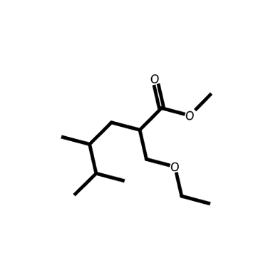 CCOCC(CC(C)C(C)C)C(=O)OC